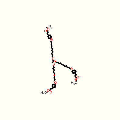 CCOC(=O)C=Cc1ccc(OCCCCCCCCCCCOCC(COCCCCCCCCCCCOc2ccc(C=CC(=O)OCC)cc2)OCCCCCCCCCCCOc2ccc(C=CC(=O)OCC)cc2)cc1